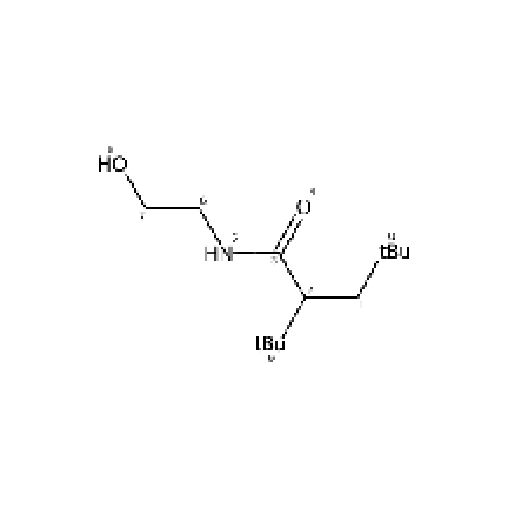 CC(C)(C)CC(C(=O)NCCO)C(C)(C)C